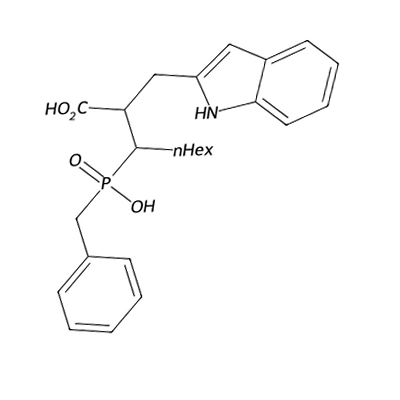 CCCCCCC(C(Cc1cc2ccccc2[nH]1)C(=O)O)P(=O)(O)Cc1ccccc1